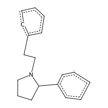 [c]1cccc(C2CCCN2CCc2ccccc2)c1